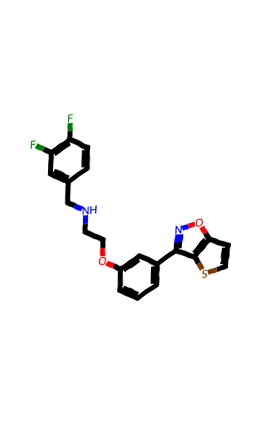 Fc1ccc(CNCCOc2cccc(-c3noc4ccsc34)c2)cc1F